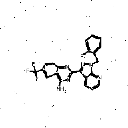 Nc1nc(-c2nn(Cc3ccccc3F)c3ncccc23)nc2ccc(C(F)(F)F)cc12